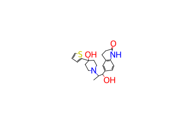 CC(C(O)c1ccc2c(c1)CCC(=O)N2)N1CCC(O)(c2cccs2)CC1